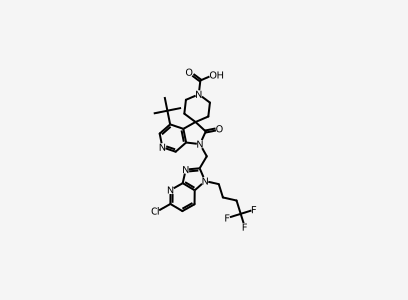 CC(C)(C)c1cncc2c1C1(CCN(C(=O)O)CC1)C(=O)N2Cc1nc2nc(Cl)ccc2n1CCCC(F)(F)F